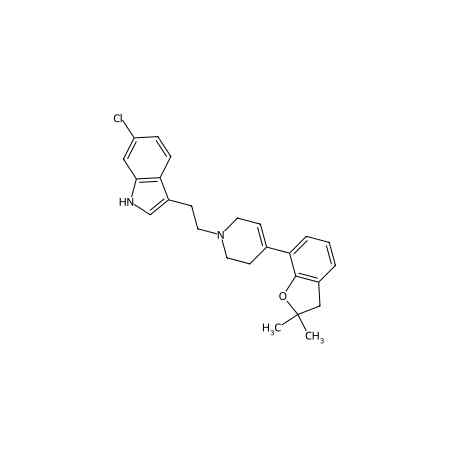 CC1(C)Cc2cccc(C3=CCN(CCc4c[nH]c5cc(Cl)ccc45)CC3)c2O1